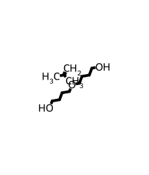 C=C(C)C.OCCCCOCCCCO